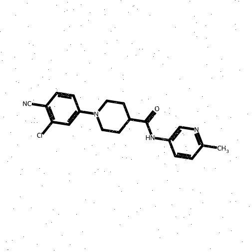 Cc1ccc(NC(=O)C2CCN(c3ccc(C#N)c(Cl)c3)CC2)cn1